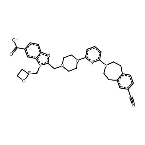 N#Cc1ccc2c(c1)CCN(c1cccc(N3CCN(Cc4nc5ccc(C(=O)O)cc5n4C[C@@H]4CCO4)CC3)n1)CC2